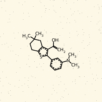 C=C(O)c1c(-c2cccc(N(C)C)c2)sc2c1CC(C)(C)CC2